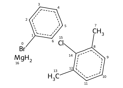 Brc1ccccc1.Cc1cccc(C)c1Cl.[MgH2]